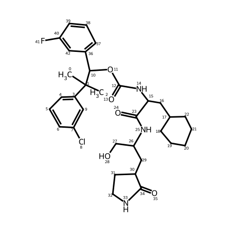 CC(C)(c1cccc(Cl)c1)C(OC(=O)NC(CC1CCCCC1)C(=O)NC(CO)CC1CCNC1=O)c1cccc(F)c1